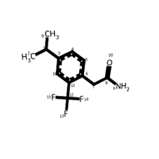 CC(C)c1ccc(CC(N)=O)c(C(F)(F)F)c1